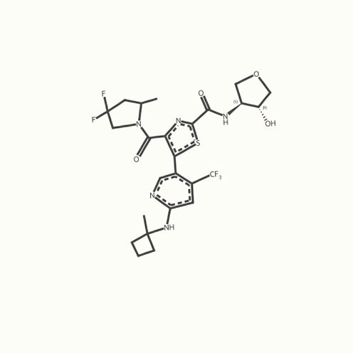 CC1CC(F)(F)CN1C(=O)c1nc(C(=O)N[C@H]2COC[C@@H]2O)sc1-c1cnc(NC2(C)CCC2)cc1C(F)(F)F